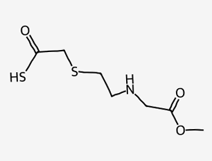 COC(=O)CNCCSCC(=O)S